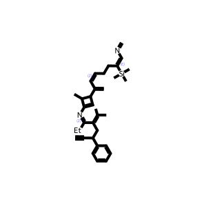 C#CC(CC(=C(C)C)/C(CC)=N\C1=CC(C(=C)/C=C\CC/C(=C\N=C)[Si](C)(C)C)C1C)c1ccccc1